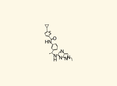 CCn1cc2ncc(N[C@@H](C)c3cccc(NC(=O)c4ccc(C5CC5)s4)c3)nc2n1